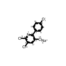 [Na+].[O-]c1ccc(-c2nc(Cl)c(Cl)cc2Cl)cc1